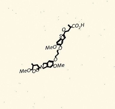 COC(=O)C(C)CC(=O)N1Cc2cc(OC)c(OCCCOc3cc4cc(C(=O)CC(C)C(=O)O)sc4cc3OC)cc2C1